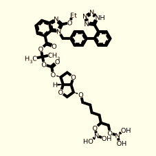 CCOc1nc2cccc(C(=O)OC(C)(C)OC(=O)O[C@@H]3COC4[C@H](OCCCCC(CON(O)O)ON(O)O)CO[C@@H]43)c2n1Cc1ccc(-c2ccccc2-c2nnn[nH]2)cc1